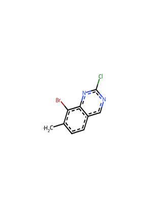 [CH2]c1ccc2cnc(Cl)nc2c1Br